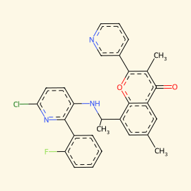 Cc1cc(C(C)Nc2ccc(Cl)nc2-c2ccccc2F)c2oc(-c3cccnc3)c(C)c(=O)c2c1